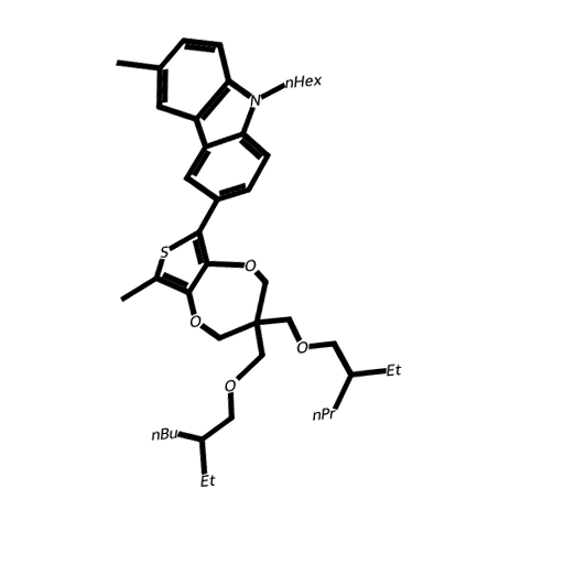 CCCCCCn1c2ccc(C)cc2c2cc(-c3sc(C)c4c3OCC(COCC(CC)CCC)(COCC(CC)CCCC)CO4)ccc21